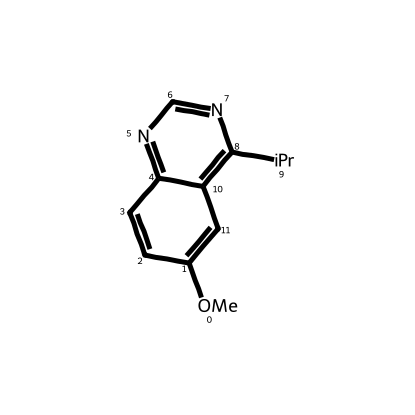 COc1ccc2ncnc(C(C)C)c2c1